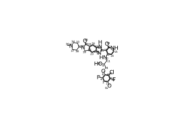 COc1cc(F)c(OCC(O)CNc2cc[nH]c(=O)c2-c2nc3cc4c(cc3[nH]2)C(=O)N(C2CCN(C)CC2)C4)c(Cl)c1F